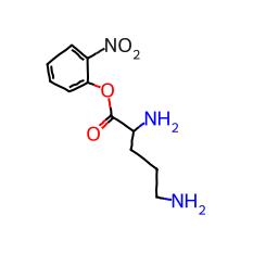 NCCCC(N)C(=O)Oc1ccccc1[N+](=O)[O-]